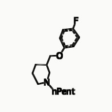 CCCCCN1CCCC(COc2ccc(F)cc2)C1